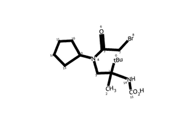 CC(C)(C)C(C)(CN(C(=O)CBr)C1CCCC1)NC(=O)O